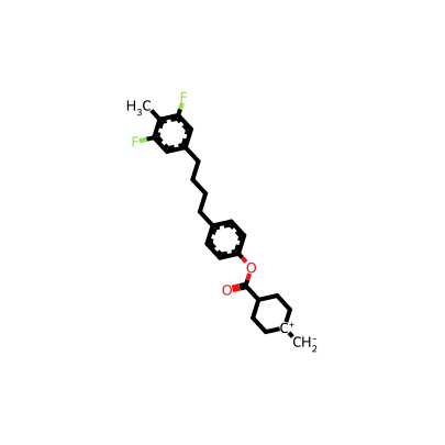 [CH2-][C+]1CCC(C(=O)Oc2ccc(CCCCc3cc(F)c(C)c(F)c3)cc2)CC1